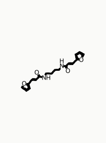 O=C(/C=C/c1ccco1)NCCCCNC(=O)/C=C/c1ccco1